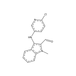 Cn1c(C=O)c(Nc2ccc(Cl)nc2)c2ccccc21